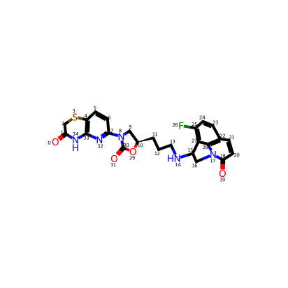 O=C1CSc2ccc(N3C[C@@H](CCCNC4Cn5c(=O)ccc6ccc(F)c4c65)OC3=O)nc2N1